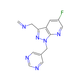 C=NCc1nn(Cc2cncnc2)c2ncc(F)cc12